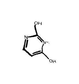 OC1=CC=NC(O)=[N+]1